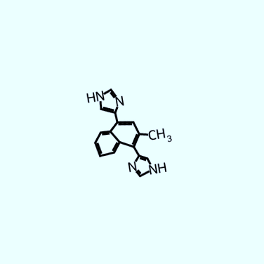 Cc1cc(-c2c[nH]cn2)c2ccccc2c1-c1c[nH]cn1